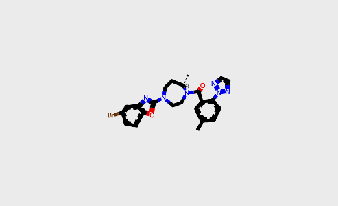 Cc1ccc(-n2nccn2)c(C(=O)N2CCN(c3nc4cc(Br)ccc4o3)CC[C@@H]2C)c1